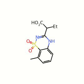 CCC(C(=O)O)C1=NS(=O)(=O)c2c(C)cccc2N1